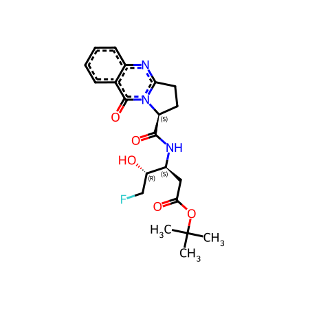 CC(C)(C)OC(=O)C[C@H](NC(=O)[C@@H]1CCc2nc3ccccc3c(=O)n21)[C@@H](O)CF